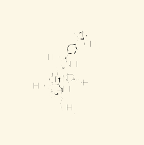 C=CCC(=O)N[C@H](C(=O)N1C[C@H](O)C[C@H]1C(=O)N[C@@H](C)c1ccc(-c2scnc2C)cc1)C(C)(C)C